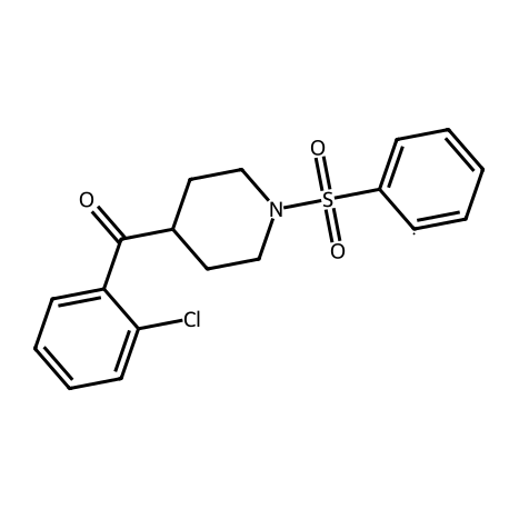 O=C(c1ccccc1Cl)C1CCN(S(=O)(=O)c2[c]cccc2)CC1